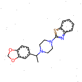 CC(c1ccc2c(c1)OCO2)N1CCN(c2nc3ccccc3s2)CC1